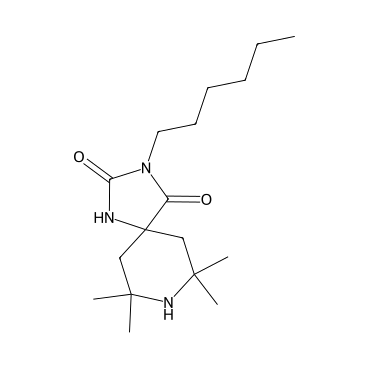 CCCCCCN1C(=O)NC2(CC(C)(C)NC(C)(C)C2)C1=O